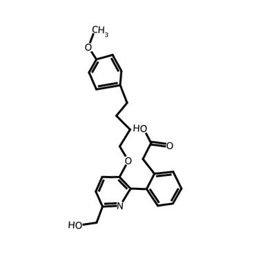 COc1ccc(CCCCOc2ccc(CO)nc2-c2ccccc2CC(=O)O)cc1